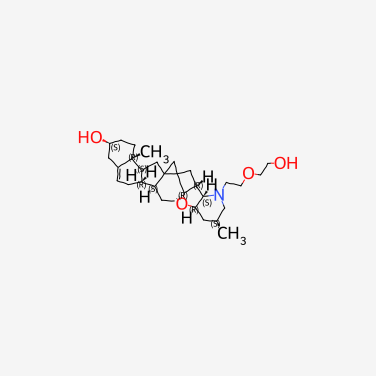 C[C@H]1C[C@H]2O[C@@]34CC[C@H]5[C@@H]6CC=C7C[C@@H](O)CC[C@]7(C)[C@H]6CC56CC63C[C@@H]4[C@@H]2N(CCOCCO)C1